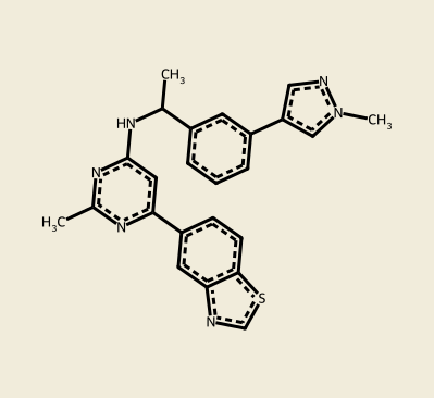 Cc1nc(NC(C)c2cccc(-c3cnn(C)c3)c2)cc(-c2ccc3scnc3c2)n1